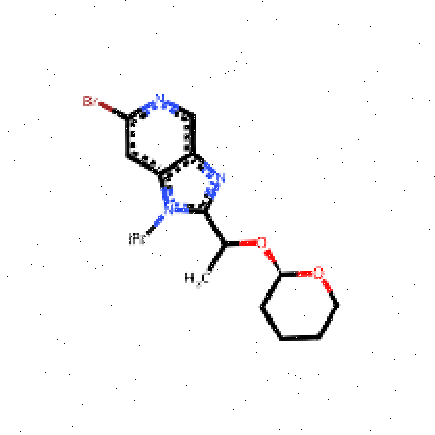 CC(O[C@@H]1CCCCO1)c1nc2cnc(Br)cc2n1C(C)C